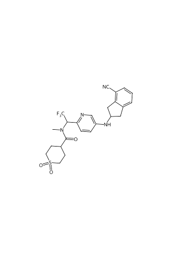 CN(C(=O)C1CCS(=O)(=O)CC1)C(c1ccc(NC2Cc3cccc(C#N)c3C2)cn1)C(F)(F)F